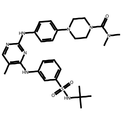 Cc1cnc(Nc2ccc(N3CCN(C(=O)N(C)C)CC3)cc2)nc1Nc1cccc(S(=O)(=O)NC(C)(C)C)c1